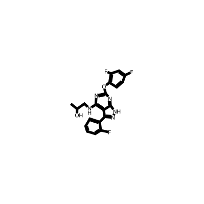 CC(O)CNc1nc(Oc2ccc(F)cc2F)nc2[nH]nc(-c3ccccc3F)c12